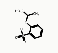 CC(Oc1ccccc1S(=O)(=O)Cl)C(=O)O